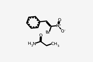 CCC(N)=O.O=[N+]([O-])C(Br)=Cc1ccccc1